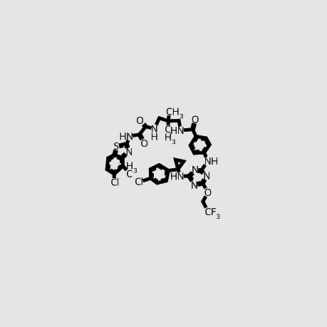 Cc1c(Cl)ccc2sc(NC(=O)C(=O)NCC(C)(C)CNC(=O)c3ccc(Nc4nc(NC5(c6ccc(Cl)cc6)CC5)nc(OCC(F)(F)F)n4)cc3)nc12